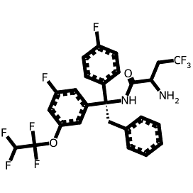 NC(CC(F)(F)F)C(=O)N[C@](Cc1ccccc1)(c1ccc(F)cc1)c1cc(F)cc(OC(F)(F)C(F)F)c1